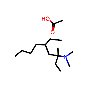 CC(=O)O.CCCCC(CC)CC(C)(CC)N(C)C